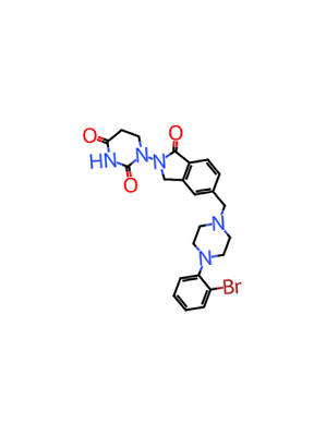 O=C1CCN(N2Cc3cc(CN4CCN(c5ccccc5Br)CC4)ccc3C2=O)C(=O)N1